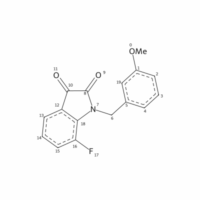 COc1cccc(CN2C(=O)C(=O)c3cccc(F)c32)c1